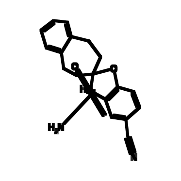 N#Cc1ccc2c(c1)C1(N=C(N)NC1=O)C1(CCc3ccccc3CC1)O2